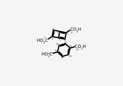 O=C(O)c1cc2c(C(=O)O)cc1-2.O=C(O)c1ccc(C(=O)O)cc1